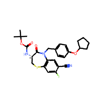 CC(C)(C)OC(=O)N[C@H]1CSc2cc(F)c(C#N)cc2N(Cc2ccc(OC3CCCC3)cc2)C1=O